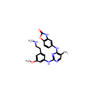 CNCCc1cc(Nc2ncc(C)c(Nc3ccc4oc(=O)[nH]c4c3)n2)cc(OC)c1